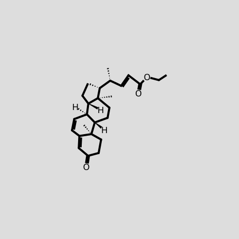 CCOC(=O)/C=C/[C@@H](C)[C@H]1CC[C@H]2[C@@H]3C=CC4=CC(=O)CC[C@]4(C)[C@H]3CC[C@]12C